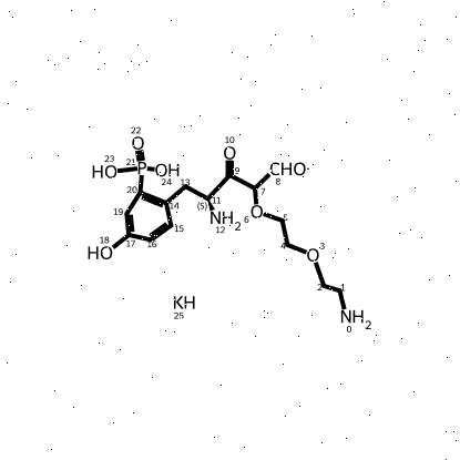 NCCOCCOC([C]=O)C(=O)[C@@H](N)Cc1ccc(O)cc1P(=O)(O)O.[KH]